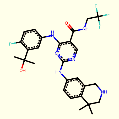 CC(C)(O)c1cc(Nc2nc(Nc3ccc4c(c3)CNCC4(C)C)ncc2C(=O)NCC(F)(F)F)ccc1F